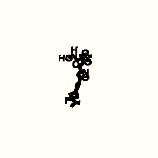 C=C(C)C1(F)CC(C#Cc2cc(CCC(C)(C(=O)NO)S(C)(=O)=O)no2)C1